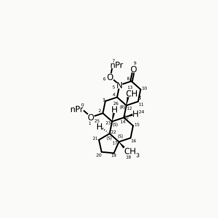 CCCOC1CC2N(OCCC)C(=O)CC[C@]2(C)[C@@H]2CC[C@]3(C)CCC[C@H]3[C@H]12